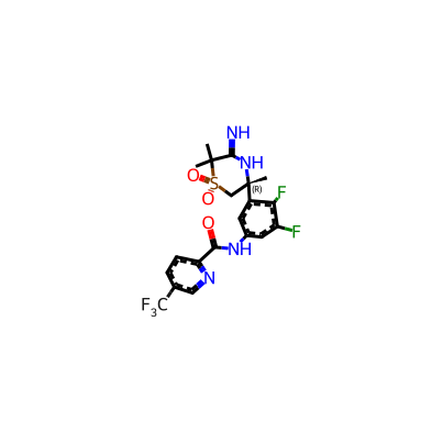 CC1(C)C(=N)N[C@](C)(c2cc(NC(=O)c3ccc(C(F)(F)F)cn3)cc(F)c2F)CS1(=O)=O